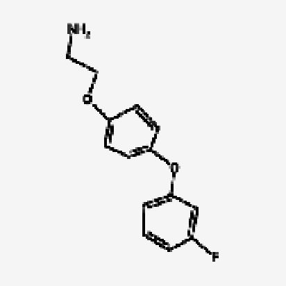 NCCOc1ccc(Oc2cccc(F)c2)cc1